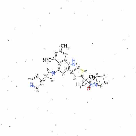 Cc1cc(C)cc(-c2[nH]c3sc(C(C)(C)C(=O)C4C5CCC4NC5)cc3c2CCN2CC(c3ccncc3)C2)c1